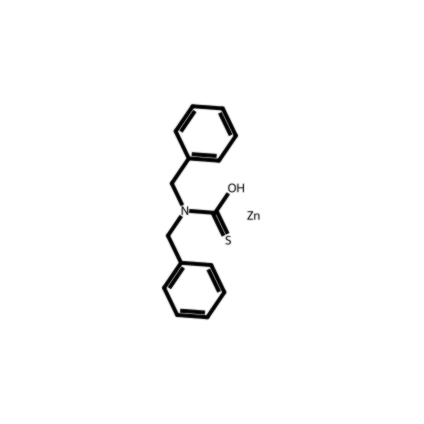 OC(=S)N(Cc1ccccc1)Cc1ccccc1.[Zn]